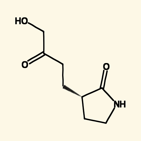 O=C(CO)CC[C@H]1CCNC1=O